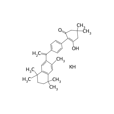 C=C(c1ccc(C2=C(O)CC(C)(C)CC2=O)cc1)c1cc2c(cc1C)C(C)(C)CCC2(C)C.[KH]